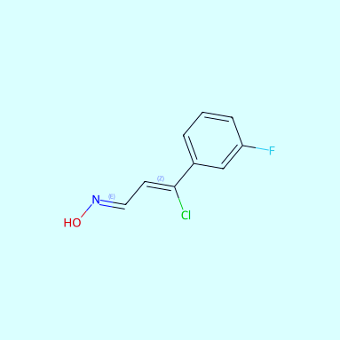 O/N=C/C=C(\Cl)c1cccc(F)c1